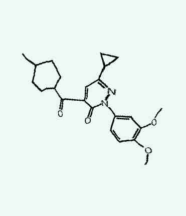 COc1ccc(-n2nc(C3CC3)cc(C(=O)C3CCC(C)CC3)c2=O)cc1OC